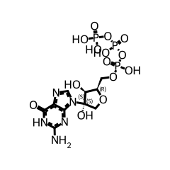 Nc1nc2c(ncn2[C@]2(O)CO[C@H](COP(=O)(O)OP(=O)(O)OP(=O)(O)O)[C@@H]2O)c(=O)[nH]1